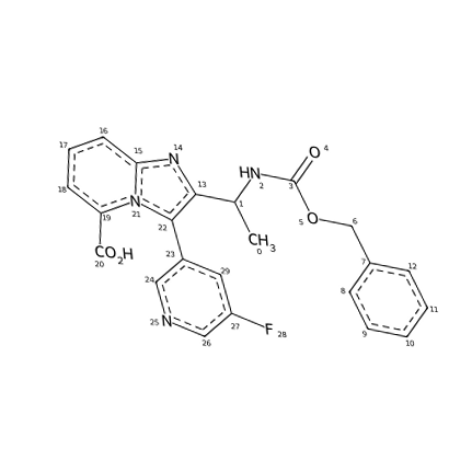 CC(NC(=O)OCc1ccccc1)c1nc2cccc(C(=O)O)n2c1-c1cncc(F)c1